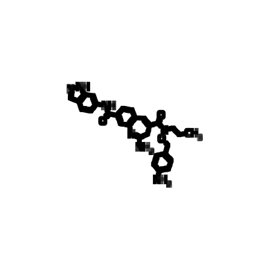 CCCN(OCc1ccc(N)cc1)C(=O)C1=Cc2ccc(C(=O)Nc3ccc4cn[nH]c4c3)cc2N=C(N)C1